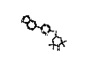 CC1(C)CC(Oc2ccc(-c3ccc4nccn4c3)nn2)CC(C)(C)N1